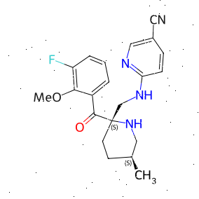 COc1c(F)cccc1C(=O)[C@@]1(CNc2ccc(C#N)cn2)CC[C@H](C)CN1